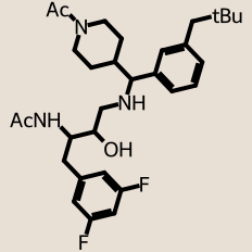 CC(=O)NC(Cc1cc(F)cc(F)c1)C(O)CNC(c1cccc(CC(C)(C)C)c1)C1CCN(C(C)=O)CC1